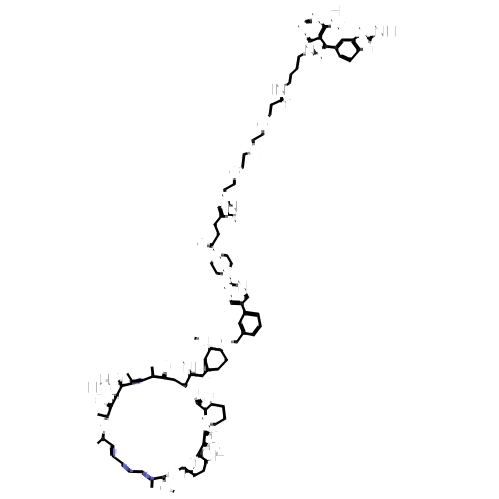 COC1C[C@@H]2CC[C@@H](C)[C@@](O)(O2)C(=O)C(=O)N2CCCCC2C(=O)OC([C@H](N)CC2CCC(OCc3cccc(-c4cnc(N5CCN(C(=O)CCc6cn(CCOCCOCCOCCC(=O)NCCCCn7nc(-c8ccc9oc(N)nc9c8)c8c(N)ncnc87)nn6)CC5)nc4)c3)[C@H](OC)C2)CC(=O)C(C)/C=C(\C)C(O)[C@@H](O)C(=O)C(C)CC(C)/C=C/C=C/C=C/1C